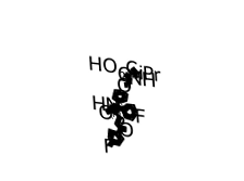 CC(C)[C@@H](NC(=O)COc1ccc([C@]2(c3ccc(F)cc3)NC(=O)[C@@H]2SCC(=O)c2ccc(F)cc2)cc1)C(=O)O